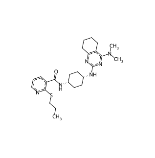 CCCSc1ncccc1C(=O)N[C@H]1CC[C@@H](Nc2nc3c(c(N(C)C)n2)CCCC3)CC1